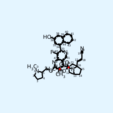 CN1CCCC1COc1nc(N2CC3CCC(/C=C/C#N)(C2)N3C(=O)OC(C)(C)C)c2cnc(-c3cc(O)cc4ccccc34)c(F)c2n1